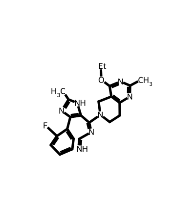 CCOc1nc(C)nc2c1CN(/C(=N/C=N)c1[nH]c(C)nc1-c1ccccc1F)CC2